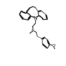 COc1ccc(CCN(C)CCN2c3ccccc3CCc3ccccc32)cc1